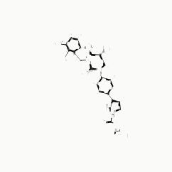 [CH2]Cc1cn(-c2ccc(-c3ccn(C(=O)OC(C)(C)C)n3)cc2)c(=O)n(Cc2cccc(C(F)(F)F)c2C)c1=O